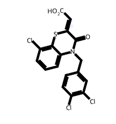 O=C(O)/C=C1\Sc2c(Cl)cccc2N(Cc2ccc(Cl)c(Cl)c2)C1=O